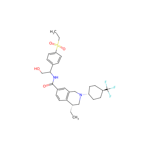 CC[C@H]1CN([C@H]2CC[C@H](C(F)(F)F)CC2)Cc2cc(C(=O)NC(CO)c3ccc(S(=O)(=O)CC)cc3)ccc21